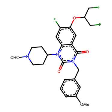 COc1cccc(Cn2c(=O)c3cc(OC(CF)CF)c(F)cc3n(C3CCN(C=O)CC3)c2=O)c1